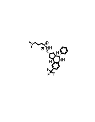 CN(C)CCCS(=O)(=O)NC[C@@H]1C[C@@H]2[C@H](C1)c1cc(C(F)(F)F)ccc1N[C@H]2c1ccccc1